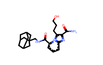 NC(=O)c1nc2cccc(C(=O)NCC34CC5CC(CC(C5)C3)C4)n2c1CCCO